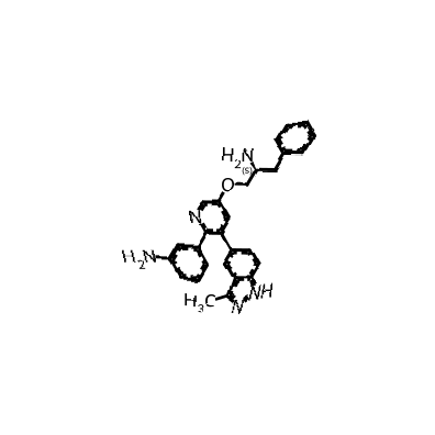 Cc1n[nH]c2ccc(-c3cc(OC[C@@H](N)Cc4ccccc4)cnc3-c3cccc(N)c3)cc12